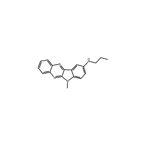 CCCNc1ccc2c(c1)c1nc3ccccc3nc1n2C